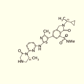 CNS(=O)(=O)c1cc(-c2sc(Nc3cccc(N4C(=O)CNC[C@H]4C)n3)nc2C)cc2c1C(=O)N([C@@H](C)C1CC1)C2